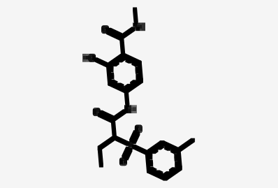 CCC(C(=O)Nc1ccc(C(=O)NC)c(O)c1)S(=O)(=O)c1cccc(C)c1